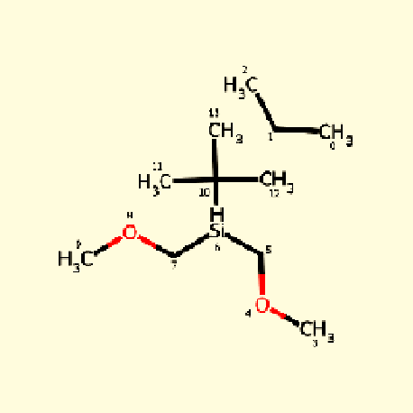 CCC.COC[SiH](COC)C(C)(C)C